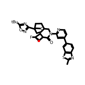 Cc1nc2ccc(-c3ccnc(N(CC45CCC(c6noc(C(C)(C)C)n6)(CC4)CC5)C(=O)C45CC(F)(C4)C5)c3)cc2s1